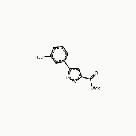 COC(=O)c1cc(-c2cccc(C)c2)on1